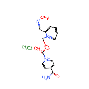 NC(=O)c1cc[n+](COC[n+]2ccccc2/C=N\O)cc1.O.[Cl-].[Cl-]